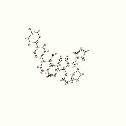 CN1CCC(c2ccc(-c3ccc4ncn(C(C(=O)Nc5nccs5)c5ncn6c5CCC6)c(=O)c4c3F)cc2)CC1